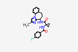 Cc1cn2c(n1)C(NC(=O)C1(NC(=O)c3ccc(F)cc3)CC1)CCc1ccccc1-2